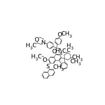 CCOc1cc2c3c(c4c(c2cc1Sc1c(C)ccc2ccccc12)-c1ccccc1C41CC(C)(C)CC(C)(C)C1)C=CC(c1ccc(OC)cc1)(c1ccc(N2CCOC(C)C2)cc1)O3